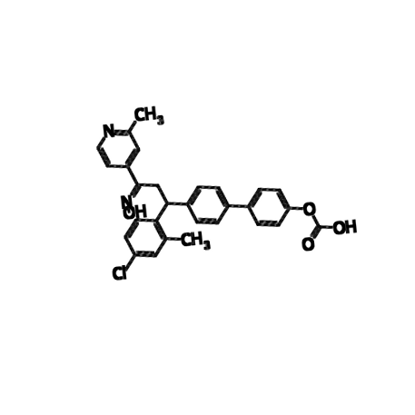 Cc1cc(/C(CC(c2ccc(-c3ccc(OC(=O)O)cc3)cc2)c2ccc(Cl)cc2C)=N/O)ccn1